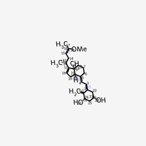 C=C1/C(=C\C=C2/CCC[C@]3(C)C([C@H](C)C/C=C(/C)OC)=CC[C@@H]23)C[C@@H](O)C[C@@H]1O